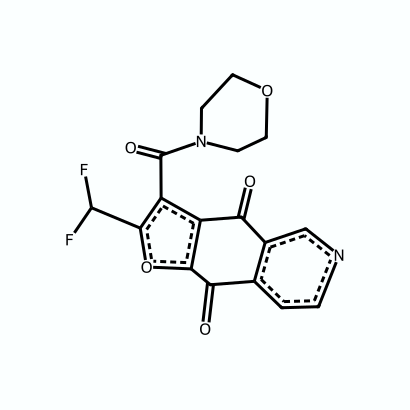 O=C1c2ccncc2C(=O)c2c1oc(C(F)F)c2C(=O)N1CCOCC1